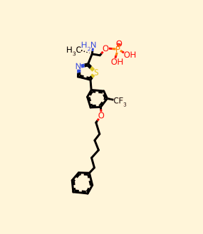 C[C@](N)(COP(=O)(O)O)c1ncc(-c2ccc(OCCCCCCc3ccccc3)c(C(F)(F)F)c2)s1